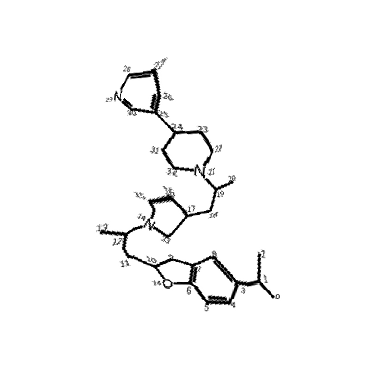 CC(C)c1ccc2c(c1)CC(CC(C)N1CCC(CC(C)N3CCC(c4cccnc4)CC3)C1)O2